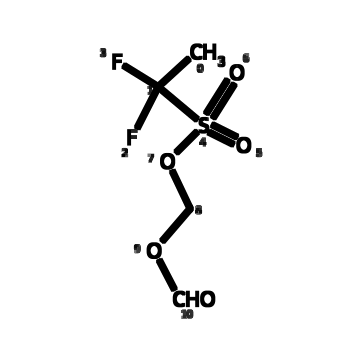 CC(F)(F)S(=O)(=O)OCOC=O